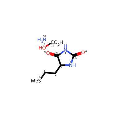 CSCCC1NC(=O)NC1=O.N.O=C(O)O